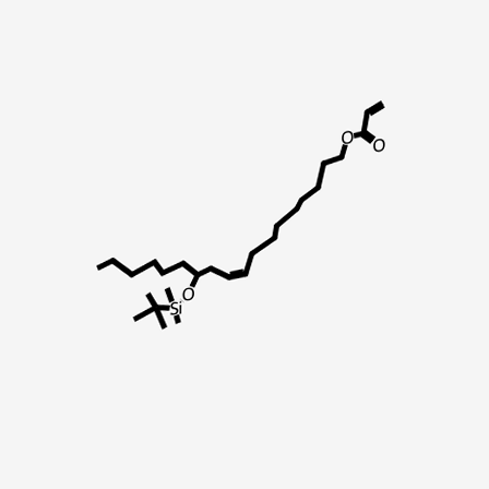 C=CC(=O)OCCCCCCCC/C=C\CC(CCCCCC)O[Si](C)(C)C(C)(C)C